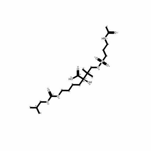 CC(=O)NCCCS(=O)(=O)OCC(C)(C)[C@](O)(CCCCOC(=O)OCC(C)C)C(=O)O